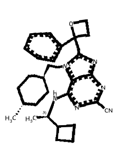 C[C@@H](Nc1nc(C#N)nc2nc(C3(c4ccccc4)CCO3)n(C[C@H]3CC[C@H](C)CC3)c12)C1CCC1